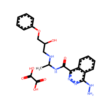 CC(NCC(O)COc1ccccc1)NC(=O)c1nnc(NN)c2ccccc12.O=C(O)C(=O)O